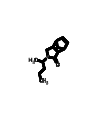 CCCC(C)N1CC2C3C=CC(C3)C2C1=O